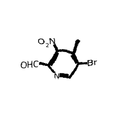 Cc1c(Br)cnc(C=O)c1[N+](=O)[O-]